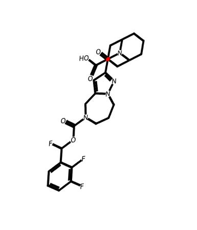 O=C(O)C1CC2CCCC(C1)N2C(=O)c1cc2n(n1)CCCN(C(=O)OC(F)c1cccc(F)c1F)C2